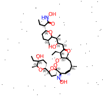 CCC(C(=O)NO)[C@H]1CC[C@H](C)C([C@@H](C)[C@H](O)[C@H](C)C(=O)[C@H](CC)[C@H]2OO[C@@]3(CC[C@@](C)([C@H]4CC[C@](O)(CC)[C@H](C)O4)O3)C(=N/O)/C=C\[C@H](C)C[C@@H]2C)O1